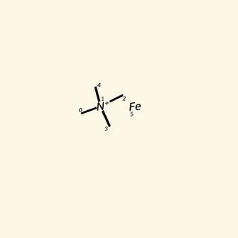 C[N+](C)(C)C.[Fe]